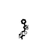 CC1=C(C)N(CC(=O)c2cc(-c3ccccc3)no2)CS1